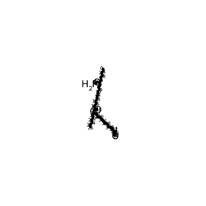 CCCCCCC(CCCCCCCCCCC(=O)OC(CCCCCC)CCCCCCCCCCN=C=O)OP